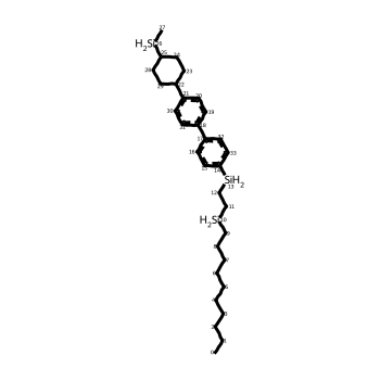 CCCCCCCCCC[SiH2]CC[SiH2]c1ccc(-c2ccc(C3CCC([SiH2]C)CC3)cc2)cc1